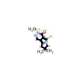 CSn1ncc2c3n(c(F)c2c1=O)CC(C)(C)C3